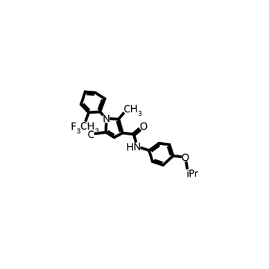 Cc1cc(C(=O)Nc2ccc(OC(C)C)cc2)c(C)n1-c1ccccc1C(F)(F)F